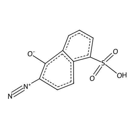 N#[N+]c1ccc2c(S(=O)(=O)O)cccc2c1[O-]